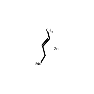 CC=C[CH2][Mo].[Zn]